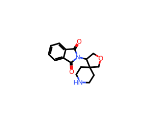 O=C1c2ccccc2C(=O)N1C1COCC12CCNCC2